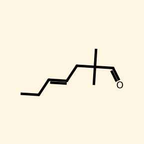 CC/C=C/CC(C)(C)C=O